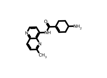 Cc1ccc2nccc(NC(=O)C3=CCC(N)CC3)c2n1